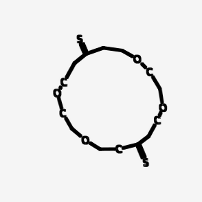 S=C1CCOCCOCCC(=S)CCOCCOCC1